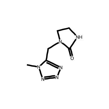 Cn1nnnc1CN1CCNC1=O